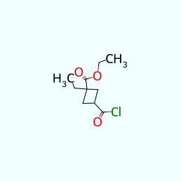 CCOC(=O)C1(CC)CC(C(=O)Cl)C1